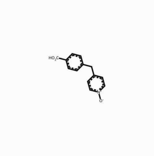 O=C(O)c1ccc(Cc2cc[n+]([O-])cc2)cc1